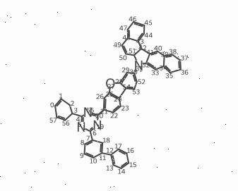 C1=CCC(c2nc(-c3cccc(-c4ccccc4)c3)nc(-c3ccc4c(c3)oc3cc(N5c6cc7ccccc7cc6C6c7ccccc7C=CC65)ccc34)n2)C=C1